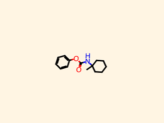 CC1(NC(=O)Oc2ccccc2)CCCCC1